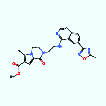 Cc1nc(-c2ccc3ccnc(NCCN4CCn5c(cc(C(=O)OC(C)C)c5C)C4=O)c3c2)no1